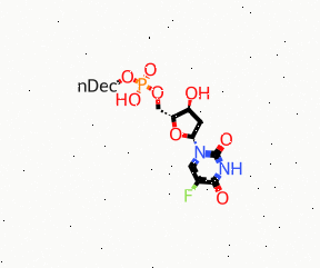 CCCCCCCCCCOP(=O)(O)OC[C@H]1O[C@@H](n2cc(F)c(=O)[nH]c2=O)C[C@@H]1O